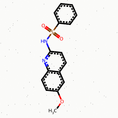 COc1ccc2nc(NS(=O)(=O)c3ccccc3)ccc2c1